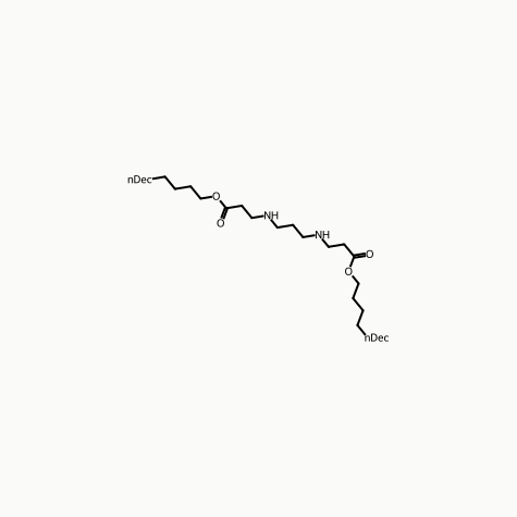 CCCCCCCCCCCCCCOC(=O)CCNCCCNCCC(=O)OCCCCCCCCCCCCCC